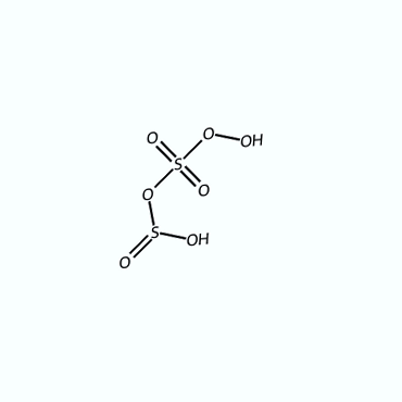 O=S(O)OS(=O)(=O)OO